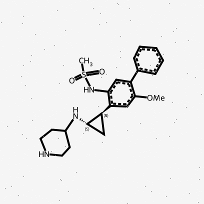 COc1cc([C@H]2C[C@@H]2NC2CCNCC2)c(NS(C)(=O)=O)cc1-c1ccccc1